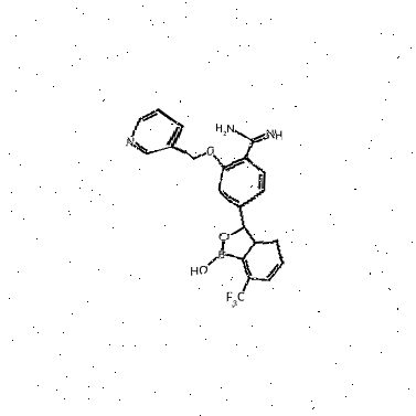 N=C(N)c1ccc(C2OB(O)C3=C(C(F)(F)F)C=CCC32)cc1OCc1cccnc1